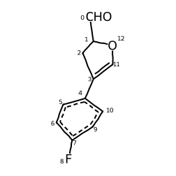 O=CC1CC(c2ccc(F)cc2)=CO1